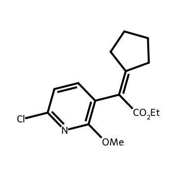 CCOC(=O)C(=C1CCCC1)c1ccc(Cl)nc1OC